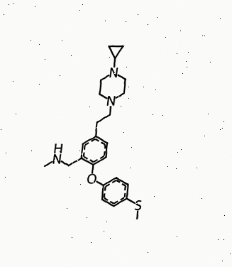 CNCc1cc(CCN2CCN(C3CC3)CC2)ccc1Oc1ccc(SC)cc1